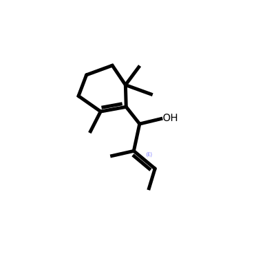 C/C=C(\C)C(O)C1=C(C)CCCC1(C)C